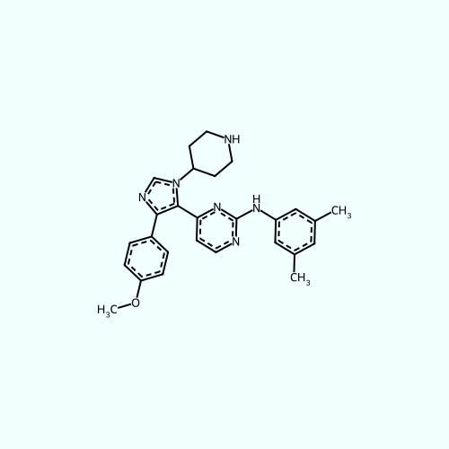 COc1ccc(-c2ncn(C3CCNCC3)c2-c2ccnc(Nc3cc(C)cc(C)c3)n2)cc1